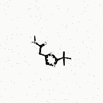 CNC(=O)Cc1cnc(C(C)(C)C)s1